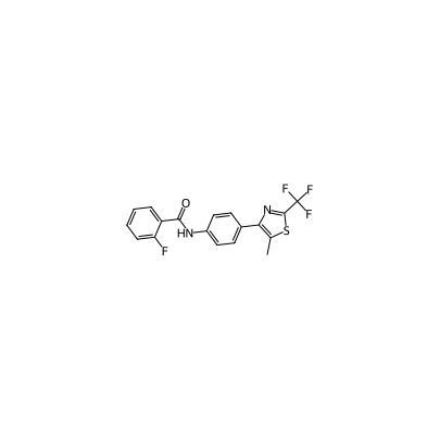 Cc1sc(C(F)(F)F)nc1-c1ccc(NC(=O)c2ccccc2F)cc1